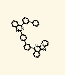 c1ccc(-c2cccc(-c3nc(-c4ccc(-c5cccc(-c6nc7c(nc8ccccn87)c7ccccc67)c5)cc4)nc4ccccc34)c2)cc1